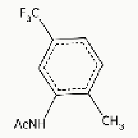 CC(=O)Nc1cc(C(F)(F)F)ccc1C